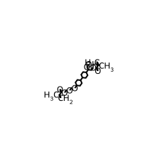 C=C(C)C(=O)OCOCOC1CCC(C2CCC(C(COC(=O)C(=C)C)OO)CC2)CC1